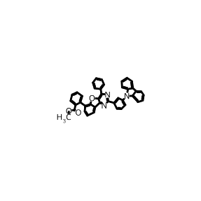 COC(=O)c1ccccc1-c1cccc2c1oc1c(-c3ccccc3)nc(-c3cccc(-n4c5ccccc5c5ccccc54)c3)nc12